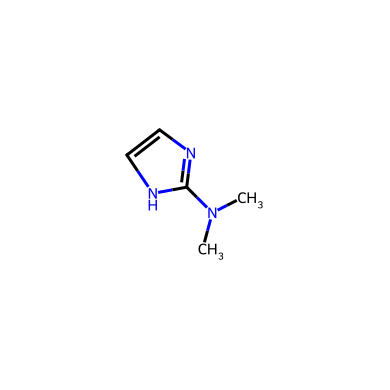 CN(C)c1ncc[nH]1